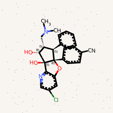 CN(C)C[C@H]1[C@@H](O)[C@@]2(O)c3ncc(Cl)cc3O[C@@]2(c2ccc(C#N)cc2)[C@@H]1c1ccccc1